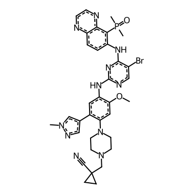 COc1cc(N2CCN(CC3(C#N)CC3)CC2)c(-c2cnn(C)c2)cc1Nc1ncc(Br)c(Nc2ccc3nccnc3c2P(C)(C)=O)n1